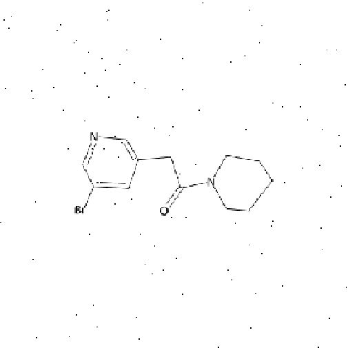 O=C(Cc1cncc(Br)c1)N1CCCCC1